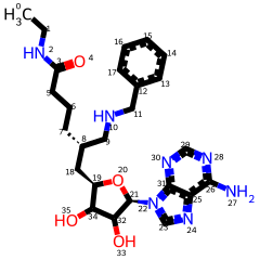 CCNC(=O)CCC[C@H](CNCc1ccccc1)C[C@H]1O[C@@H](n2cnc3c(N)ncnc32)C(O)C1O